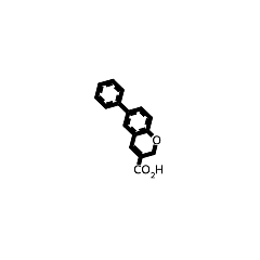 O=C(O)C1=Cc2cc(-c3ccccc3)ccc2OC1